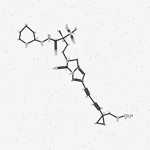 C[C@@](CCN1Cc2cc(C#CC#CC3(COC(=O)O)CC3)cn2C1=O)(C(=O)NOC1CCCCO1)S(C)(=O)=O